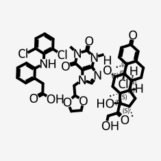 C[C@H]1C[C@H]2[C@@H]3CCC4=CC(=O)C=C[C@]4(C)[C@@]3(Cl)[C@@H](O)C[C@]2(C)[C@@]1(O)C(=O)CO.Cn1c(=O)c2c(ncn2CC2OCCO2)n(C)c1=O.O=C(O)Cc1ccccc1Nc1c(Cl)cccc1Cl